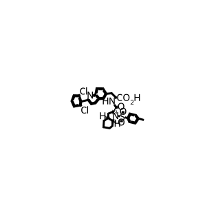 Cc1ccc(S(=O)(=O)N2[C@H](C(=O)NC(Cc3ccc4nc(-c5c(Cl)cccc5Cl)ccc4c3)C(=O)O)C[C@@H]3CCCC[C@@H]32)cc1